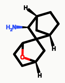 N[C@H]1[C@@H]2CC[C@@H](C2)C12C[C@@H]1CCC2O1